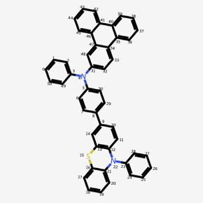 c1ccc(N(c2ccc(-c3ccc4c(c3)Sc3ccccc3N4c3ccccc3)cc2)c2ccc3c4ccccc4c4ccccc4c3c2)cc1